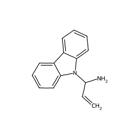 C=CC(N)n1c2ccccc2c2ccccc21